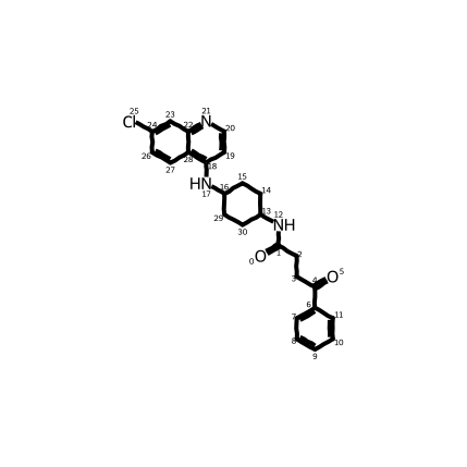 O=C(CCC(=O)c1ccccc1)NC1CCC(Nc2ccnc3cc(Cl)ccc23)CC1